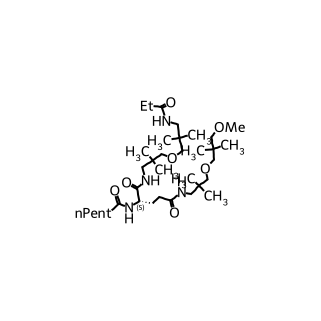 CCCCCC(=O)N[C@@H](CCC(=O)NCC(C)(C)COCC(C)(C)COC)C(=O)NCC(C)(C)COCC(C)(C)CNC(=O)CC